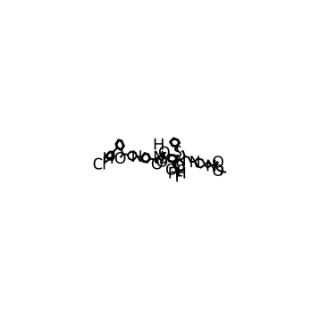 CC(C)(C)OC(=O)N1CC2(CCN(CCC(CSc3ccccc3)Nc3ccc(S(=O)(=O)NC(=O)c4ccc(N5CCC(C(O)c6ccccc6-c6ccc(Cl)cc6)CC5)cc4)cc3S(=O)(=O)C(F)(F)F)CC2)C1